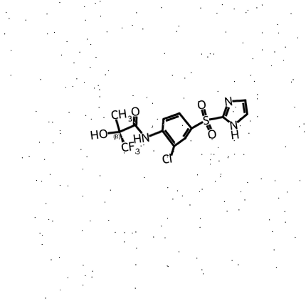 C[C@@](O)(C(=O)Nc1ccc(S(=O)(=O)c2ncc[nH]2)cc1Cl)C(F)(F)F